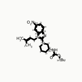 CC(C)=CCn1c(N2CCC[C@@H](NC(=O)OC(C)(C)C)C2)nc2ccc([N+](=O)[O-])cc21